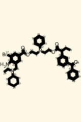 CCC(C(=O)OCCN(CCOC(=O)c1cc(Br)c(N)c(CN(CC)C2CCCCC2)c1)c1ccccc1)c1cccc(C(=O)c2ccccc2)c1